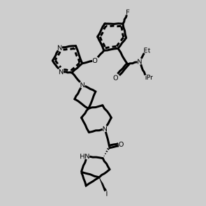 CCN(C(=O)c1cc(F)ccc1Oc1cncnc1N1CC2(CCN(C(=O)[C@@H]3C[C@]4(I)CC4N3)CC2)C1)C(C)C